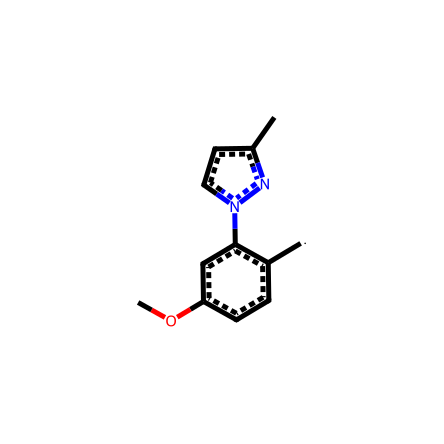 [CH2]c1ccc(OC)cc1-n1ccc(C)n1